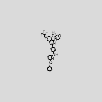 C[C@H]1COCCN1c1nc(-c2ccc(Nc3cccc(OCc4ccccc4)n3)cc2)nc2c1CCN(CC(F)(F)F)C2